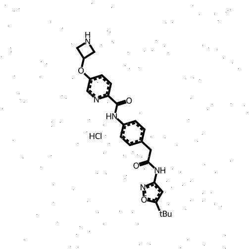 CC(C)(C)c1cc(NC(=O)Cc2ccc(NC(=O)c3ccc(OC4CNC4)cn3)cc2)no1.Cl